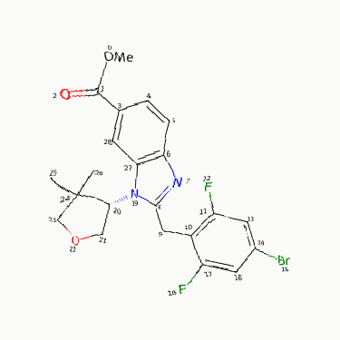 COC(=O)c1ccc2nc(Cc3c(F)cc(Br)cc3F)n([C@@H]3COCC3(C)C)c2c1